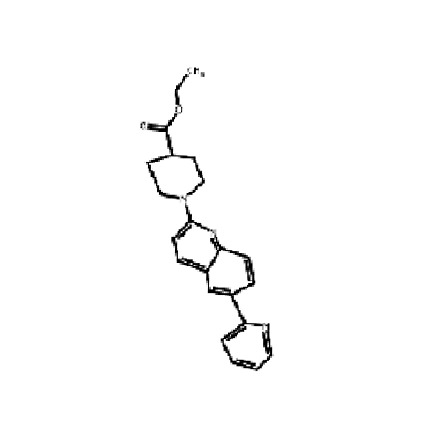 CCOC(=O)C1CCN(c2ccc3cc(-c4ccccn4)ccc3n2)CC1